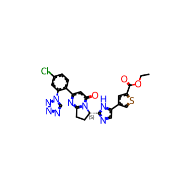 CCOC(=O)c1cc(-c2cnc([C@@H]3CCc4nc(-c5ccc(Cl)cc5-n5cnnn5)cc(=O)n43)[nH]2)cs1